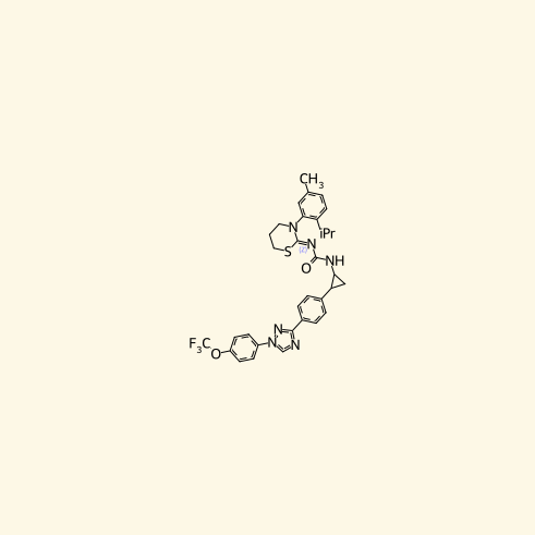 Cc1ccc(C(C)C)c(N2CCCS/C2=N\C(=O)NC2CC2c2ccc(-c3ncn(-c4ccc(OC(F)(F)F)cc4)n3)cc2)c1